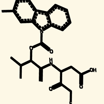 C=C(NC(CC(=O)O)C(=O)CF)C(OC(=O)n1c2ccccc2c2ccc(C)cc21)C(C)C